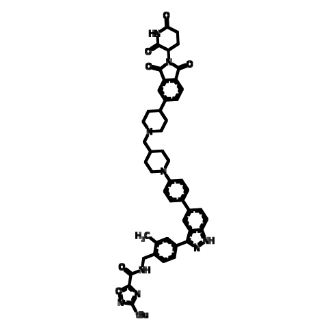 Cc1cc(-c2n[nH]c3ccc(-c4ccc(N5CCC(CN6CCC(c7ccc8c(c7)C(=O)N(C7CCC(=O)NC7=O)C8=O)CC6)CC5)cc4)cc23)ccc1CNC(=O)c1nc(C(C)(C)C)no1